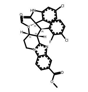 COC(=O)c1ccc2c(c1)nc1n2CC[C@H]2[C@@H]1[C@H](c1cccc(Cl)c1F)[C@]1(C(=O)Nc3cc(Cl)ccc31)N2C=O